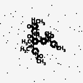 CCC(=O)N1CCC(N(CC)c2cc(-c3ccc4c(c3)n(C)c(=O)n4C3CCN(C)CC3)cc(C(=O)NCc3c(C)cc(C)[nH]c3=O)c2C)CC1